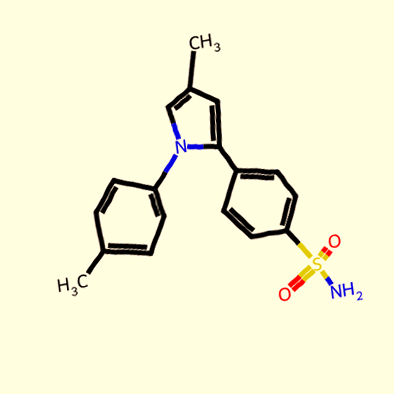 Cc1ccc(-n2cc(C)cc2-c2ccc(S(N)(=O)=O)cc2)cc1